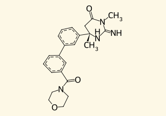 CN1C(=N)N[C@](C)(c2cccc(-c3cccc(C(=O)N4CCOCC4)c3)c2)CC1=O